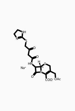 CC(=O)OCC1=C(C(=O)[O-])N2C(=O)C(NC(=O)CC(=O)CSC3=NCCN3)[C@@H]2SC1.[Na+]